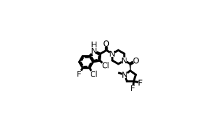 CN1CC(F)(F)C[C@@H]1C(=O)N1CCN(C(=O)c2[nH]c3ccc(F)c(Cl)c3c2Cl)CC1